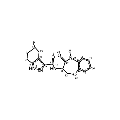 CC1CCc2[nH]nc(C(=O)NC3COc4ccccc4N(C)C3=O)c2C1